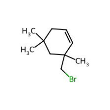 CC1(C)CC=CC(C)(CBr)C1